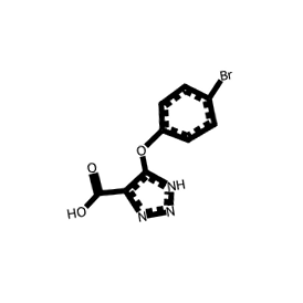 O=C(O)c1nn[nH]c1Oc1ccc(Br)cc1